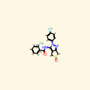 O=C(Nc1c2c(nn1-c1ccc(F)cc1)C[S+]([O-])C2)c1ccccc1F